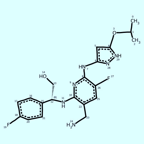 CC(C)Oc1cc(Nc2nc(N[C@@H](CO)c3ccc(F)cc3)c(CN)cc2F)n[nH]1